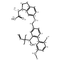 C=CC(C)(C)[C@H](O)c1cc(COc2ccc3c(c2)[C@@H]([C@@H](C)C(=O)O)CC3)ccc1-c1cc(OC)ccc1F